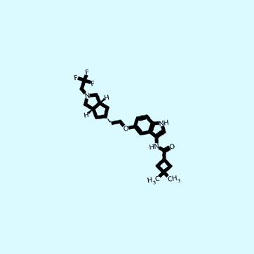 CC1(C)CC(C(=O)Nc2c[nH]c3ccc(OCC[C@@H]4C[C@@H]5CN(CC(F)(F)F)C[C@@H]5C4)cc23)C1